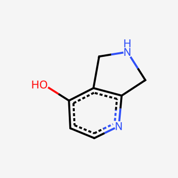 Oc1ccnc2c1CNC2